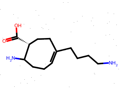 NCCCC/C1=C/CCC(N)[C@H](C(=O)O)CC1